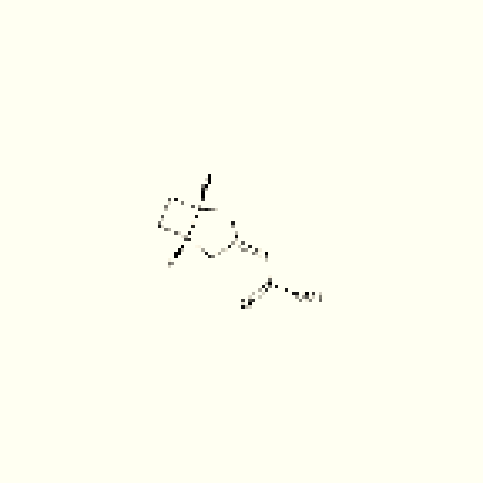 COC(=O)/C=C1/C[C@H]2CC[C@H]2C1